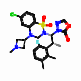 Cc1ccc(F)c([C@@H](C)[C@H](N2CN(C3CN(C)C3)c3cc(Cl)ccc3S2(=O)=O)n2ncoc2=O)c1C